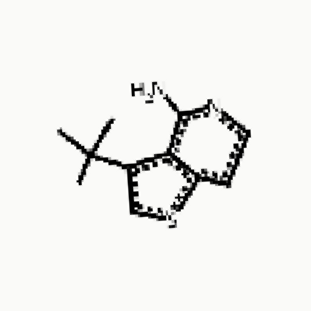 CC(C)(C)c1csc2ccnc(N)c12